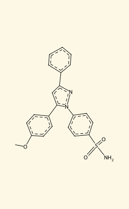 COc1ccc(-c2cc(-c3ccccc3)nn2-c2ccc(S(N)(=O)=O)cc2)cc1